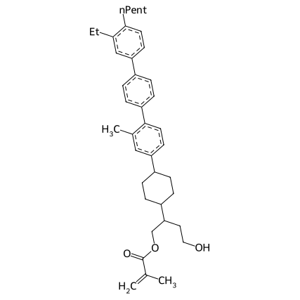 C=C(C)C(=O)OCC(CCO)C1CCC(c2ccc(-c3ccc(-c4ccc(CCCCC)c(CC)c4)cc3)c(C)c2)CC1